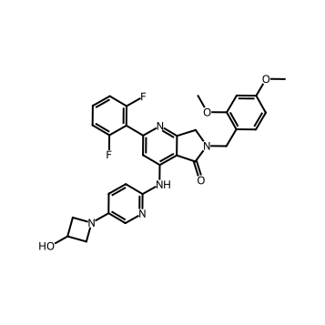 COc1ccc(CN2Cc3nc(-c4c(F)cccc4F)cc(Nc4ccc(N5CC(O)C5)cn4)c3C2=O)c(OC)c1